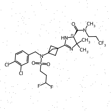 CN(CCC(F)(F)F)C(=O)[C@@H]1NC(C23CC(N(Cc4ccc(Cl)c(Cl)c4)S(=O)(=O)CCC(F)F)(C2)C3)=NC1(C)C